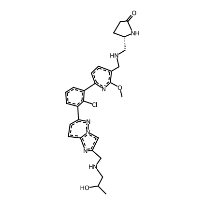 COc1nc(-c2cccc(-c3ccc4nc(CNCC(C)O)cn4n3)c2Cl)ccc1CNC[C@@H]1CCC(=O)N1